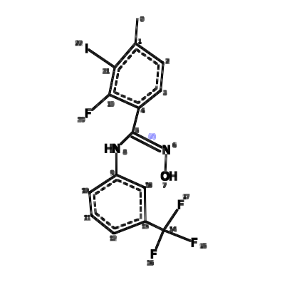 Cc1ccc(/C(=N/O)Nc2cccc(C(F)(F)F)c2)c(F)c1I